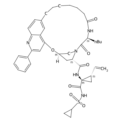 C=C[C@@H]1C[C@]1(NC(=O)[C@@H]1C[C@@H]2CN1C(=O)[C@H](CCCC)NC(=O)CCCCCCc1ccc3nc(-c4ccccc4)cc(c3c1)O2)C(=O)NS(=O)(=O)C1CC1